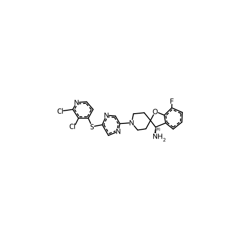 N[C@@H]1c2cccc(F)c2OC12CCN(c1cnc(Sc3ccnc(Cl)c3Cl)cn1)CC2